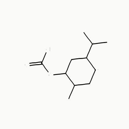 CC(C)C1CCC(C)C(OC(=O)Cl)C1